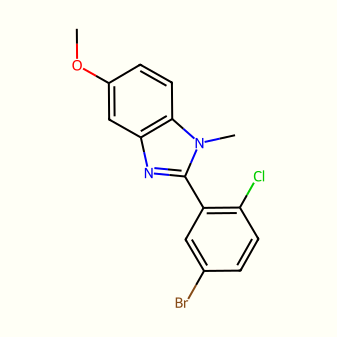 COc1ccc2c(c1)nc(-c1cc(Br)ccc1Cl)n2C